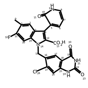 Cc1cc2c(-c3ccc[nH]c3=O)c(C(=O)O)n(Cc3cc4c(=O)[nH]c(=O)[nH]c4cc3Cl)c2cc1F